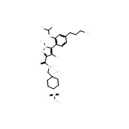 CCn1nc(C(=O)NC[C@]2(O)CC[C@@H](S(C)(=O)=O)CC2)c(Cl)c1-c1ccc(CCCC(F)(F)F)cc1OC(F)F